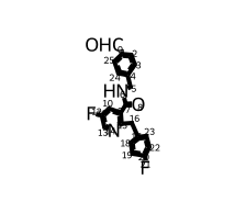 O=Cc1ccc(CNC(=O)c2cc(F)cnc2Cc2ccc(F)cc2)cc1